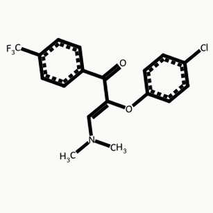 CN(C)/C=C(\Oc1ccc(Cl)cc1)C(=O)c1ccc(C(F)(F)F)cc1